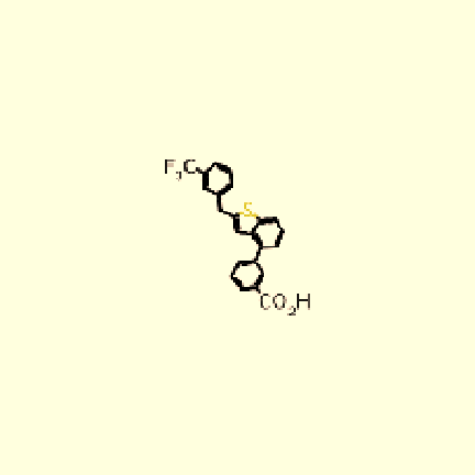 O=C(O)c1cccc(-c2cccc3sc(Cc4cccc(C(F)(F)F)c4)cc23)c1